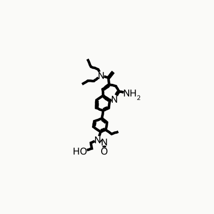 C=C(C1=Cc2ccc(-c3ccc(N(CCO)N=O)c(CC)c3)cc2N=C(N)C1)N(CCC)CCC